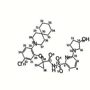 O=C(NS(=O)(=O)c1cccc(N2CCC(O)C2)n1)C1(Oc2cc(Cl)ccc2N2CCC3(CCCCC3)CC2)CC1